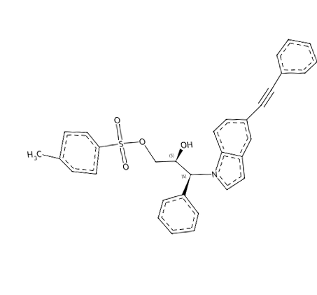 Cc1ccc(S(=O)(=O)OC[C@@H](O)[C@H](c2ccccc2)n2ccc3cc(C#Cc4ccccc4)ccc32)cc1